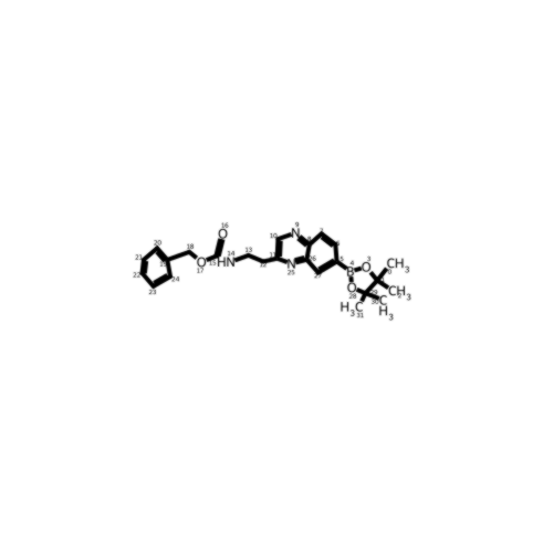 CC1(C)OB(c2ccc3ncc(CCNC(=O)OCc4ccccc4)nc3c2)OC1(C)C